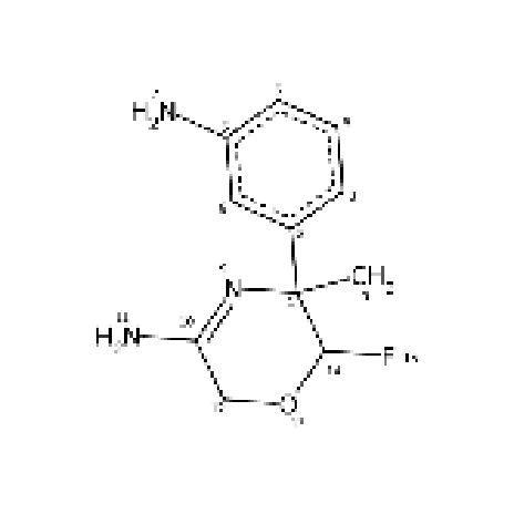 CC1(c2cccc(N)c2)N=C(N)COC1F